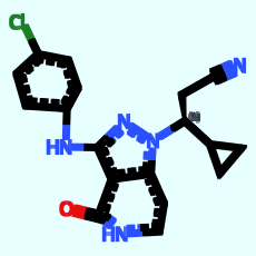 N#CC[C@@H](C1CC1)n1nc(Nc2ccc(Cl)cc2)c2c(=O)[nH]ccc21